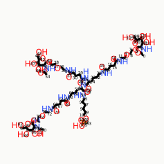 CC(=O)NC1C(OCCOCCNC(=O)CCCC(=O)NCCCC[C@H](NC(=O)CCCC(=O)NCCOCCOC2OC(CO)C(O)C(O)C2NC(C)=O)C(=O)N[C@@H](CCCCNC(=O)CCCC(=O)NCCOCCOC2OC(CO)C(O)C(O)C2NC(C)=O)C(=O)NCCCCCCOP(C)(=O)O)OC(CO)C(O)C1O